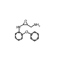 NCC1OC1Nc1ccccc1Oc1ccccc1